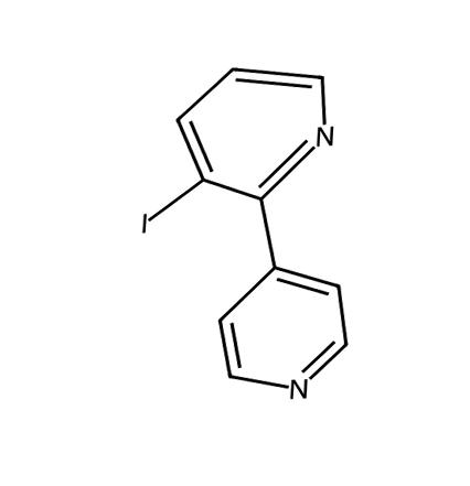 Ic1cccnc1-c1ccncc1